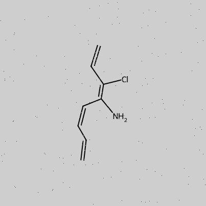 C=C/C=C\C(N)=C(\Cl)C=C